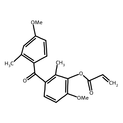 C=CC(=O)Oc1c(OC)ccc(C(=O)c2ccc(OC)cc2C)c1C